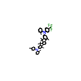 Cc1ccc(N(c2cc(C)c3c(c2)C(C)(C)c2c-3ccc3c2C(C)(C)c2cc(N(c4ccc(C(F)(F)F)cc4)c4ccccc4C)cc(C)c2-3)c2ccccc2C)cc1